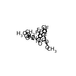 COCCO[C@@H]1CSc2c(-c3cc(Cl)c(F)cc3F)c(C(F)(F)F)cc3c(N4CCN(C(=O)OC(C)(C)C)CC4)nc(=O)n(c23)C1